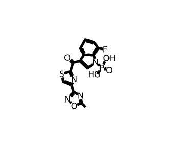 Cc1nc(-c2csc(C(=O)c3cn(P(=O)(O)O)c4c(F)cccc34)n2)no1